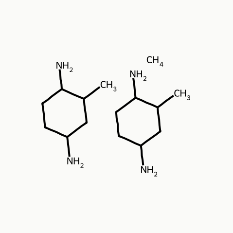 C.CC1CC(N)CCC1N.CC1CC(N)CCC1N